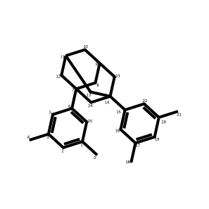 Cc1cc(C)cc(C23CC4CC(C2)CC(c2cc(C)cc(C)c2)(C4)C3)c1